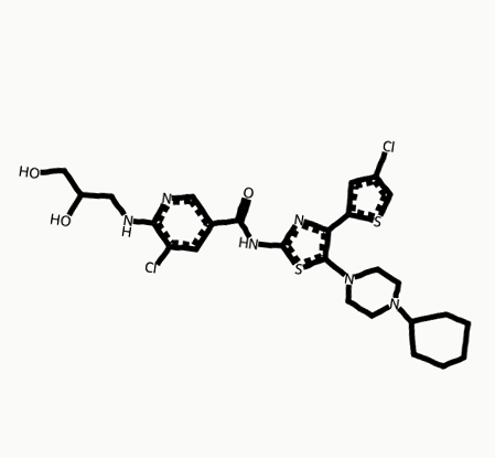 O=C(Nc1nc(-c2cc(Cl)cs2)c(N2CCN(C3CCCCC3)CC2)s1)c1cnc(NCC(O)CO)c(Cl)c1